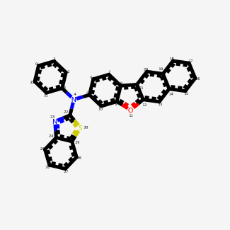 c1ccc(N(c2ccc3c(c2)oc2cc4ccccc4cc23)c2nc3ccccc3s2)cc1